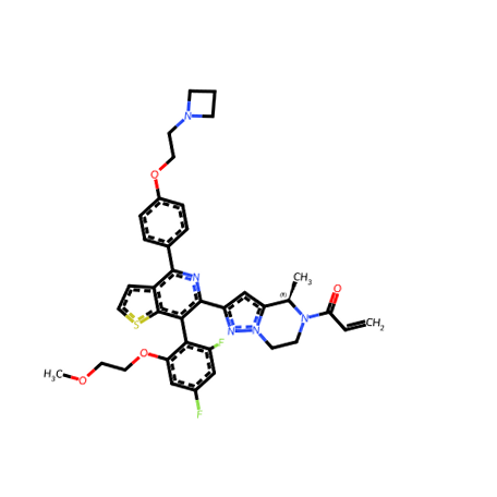 C=CC(=O)N1CCn2nc(-c3nc(-c4ccc(OCCN5CCC5)cc4)c4ccsc4c3-c3c(F)cc(F)cc3OCCOC)cc2[C@H]1C